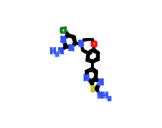 Nc1nc(Cl)cc(N2CCOc3ccc(-c4cnc5sc(N)nc5c4)cc3C2)n1